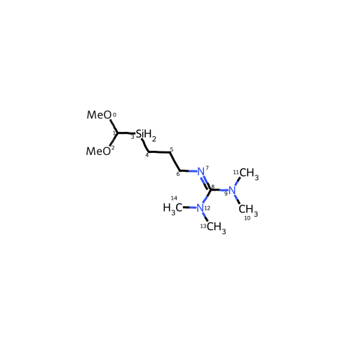 COC(OC)[SiH2]CCCN=C(N(C)C)N(C)C